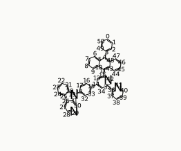 c1ccc(-c2c3ccccc3c(-c3cc(-c4ccc(-n5c6ccccc6c6ccncc65)cc4)cc(-c4ccccn4)n3)c3ccccc23)cc1